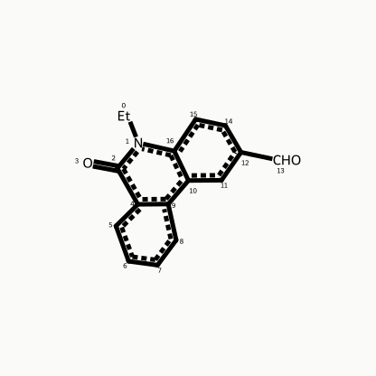 CCn1c(=O)c2ccccc2c2cc(C=O)ccc21